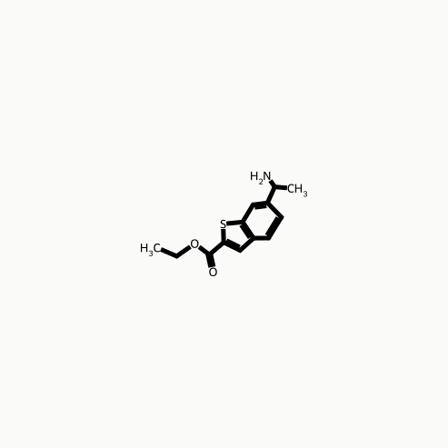 CCOC(=O)c1cc2ccc(C(C)N)cc2s1